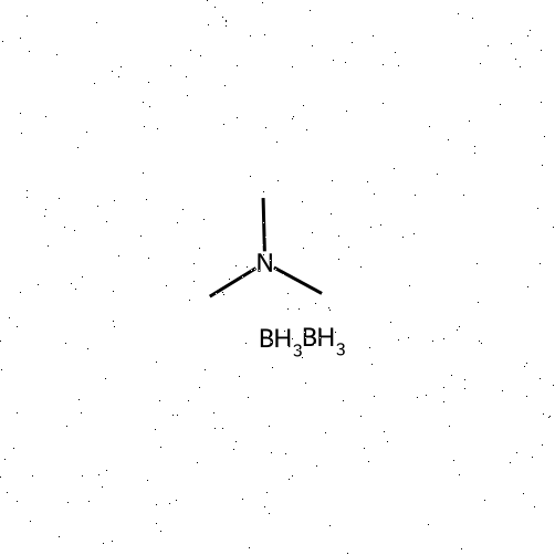 B.B.CN(C)C